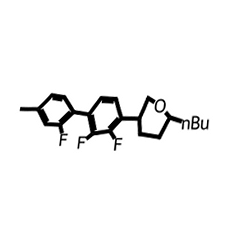 CCCCC1CCC(c2ccc(-c3ccc(C)cc3F)c(F)c2F)CO1